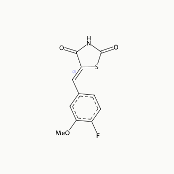 COc1cc(/C=C2\SC(=O)NC2=O)ccc1F